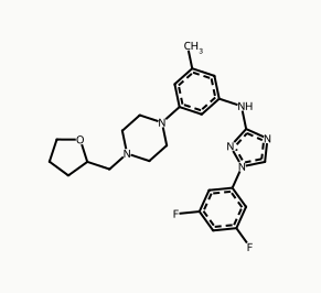 Cc1cc(Nc2ncn(-c3cc(F)cc(F)c3)n2)cc(N2CCN(CC3CCCO3)CC2)c1